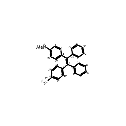 CNc1ccc(C(=C(c2ccccc2)c2ccc(C)cc2)c2ccccc2)cc1